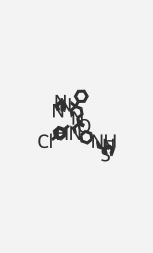 O=C([C@@H](Cc1ccc(Cl)cc1)NC1CCC(NCc2nccs2)CC1)N1CCC(Cn2cncn2)(C2CCCCC2)CC1